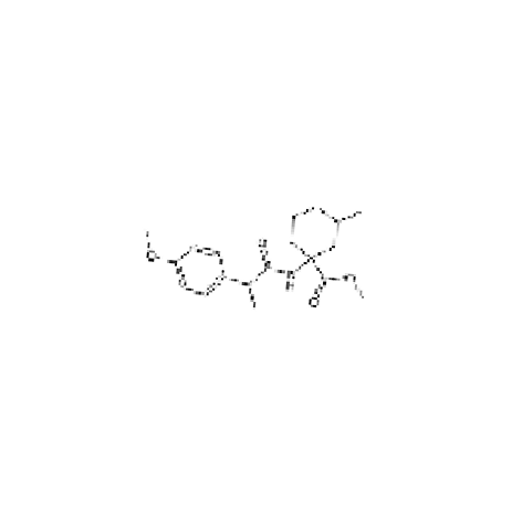 COC(=O)C1(NC(=O)C(C)c2ccc(OC)cc2)CCCC(C)C1